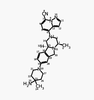 C[C@@H]1CN(c2ccc(C#N)n3nccc23)C[C@@H]2c3ccc(N4CCC(C)(N)CC4)cc3CN12